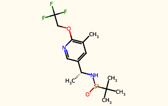 Cc1cc([C@@H](C)N[S+]([O-])C(C)(C)C)cnc1OCC(F)(F)F